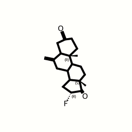 C=C1CC2C(CC[C@]3(C)C(=O)[C@H](F)CC23)[C@@]2(C)CCC(=O)CC12